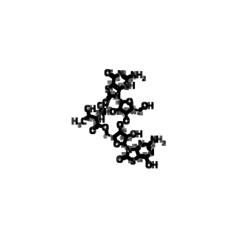 CN[C@H](C(=O)OC[C@H]1O[C@@H](n2c(=O)sc3c(O)nc(N)nc32)[C@H](O)[C@@H]1OO[C@H]1[C@@H](O)[C@H](n2c(=O)sc3c(=O)nc(N)[nH]c32)O[C@@H]1CO)C(C)C